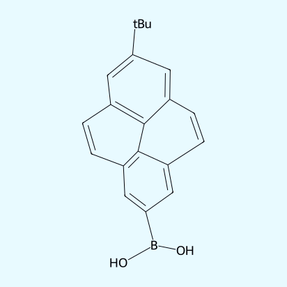 CC(C)(C)c1cc2ccc3cc(B(O)O)cc4ccc(c1)c2c34